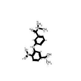 C[C@@H](O)c1ccc([N+](=O)[O-])c(Oc2cccc(C(=O)N(C)C)c2)c1